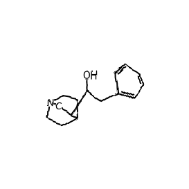 OC(Cc1ccccc1)C1CN2CCC1CC2